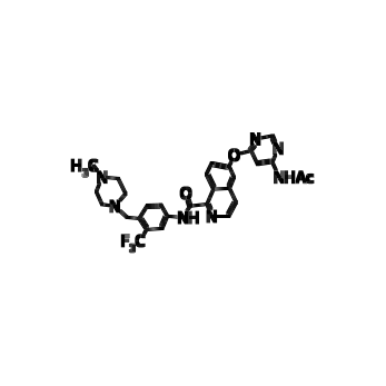 CC(=O)Nc1cc(Oc2ccc3c(C(=O)Nc4ccc(CN5CCN(C)CC5)c(C(F)(F)F)c4)nccc3c2)ncn1